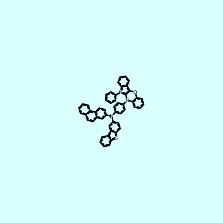 c1ccc(-n2c3c(c4ccccc42)Oc2ccccc2N3c2ccc(N(c3ccc4c(ccc5ccccc54)c3)c3ccc4sc5ccccc5c4c3)cc2)cc1